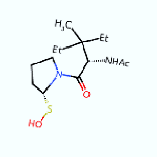 CCC(C)(CC)[C@H](NC(C)=O)C(=O)N1CCC[C@H]1SO